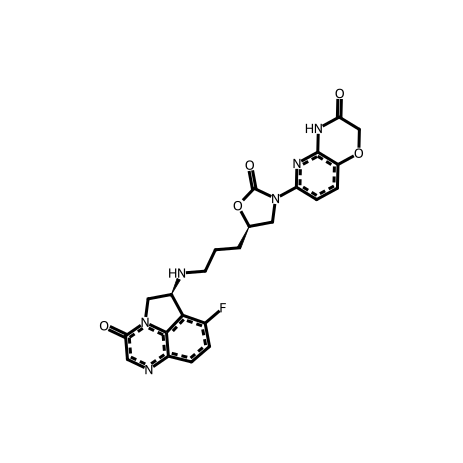 O=C1COc2ccc(N3C[C@@H](CCCN[C@@H]4Cn5c(=O)cnc6ccc(F)c4c65)OC3=O)nc2N1